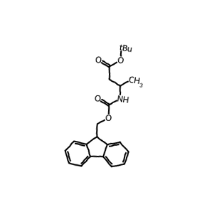 CC(CC(=O)OC(C)(C)C)NC(=O)OCC1c2ccccc2-c2ccccc21